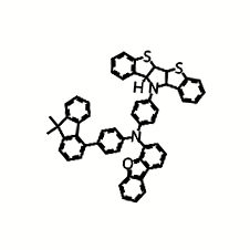 CC1(C)c2ccccc2-c2c(-c3ccc(N(c4ccc(N5C6c7ccccc7SC6C6Sc7ccccc7[C@H]65)cc4)c4cccc5c4oc4ccccc45)cc3)cccc21